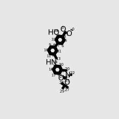 COC(=O)c1ccc(-c2cccc(CNc3cccc(CN(C)C(=O)OC(C)(C)C)c3)c2)cc1O